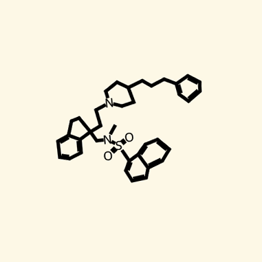 CN(CC1(CCN2CCC(CCCc3ccccc3)CC2)CCc2ccccc21)S(=O)(=O)c1cccc2ccccc12